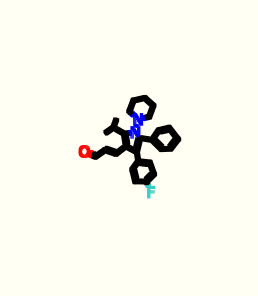 CC(C)c1c(C=CC=O)c(-c2ccc(F)cc2)c(-c2ccccc2)n1N1CCCCC1